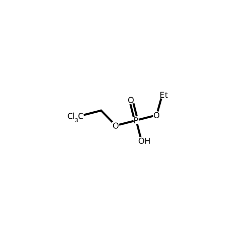 CCOP(=O)(O)OCC(Cl)(Cl)Cl